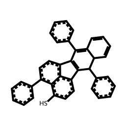 Sc1ccc2c3c(ccc(-c4ccccc4)c13)C1=C2C(c2ccccc2)C2C=CC=CC2=C1c1ccccc1